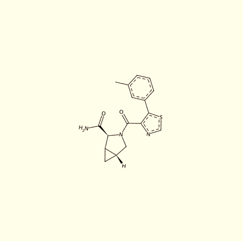 Cc1cccc(-c2scnc2C(=O)N2C[C@@H]3CC3[C@H]2C(N)=O)c1